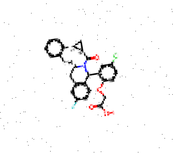 Cc1ccccc1[C@@H]1C[C@H]1C(=O)N1CCc2cc(F)ccc2C1c1cc(Cl)ccc1OCC(=O)O